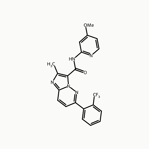 COc1ccnc(NC(=O)c2c(C)nc3ccc(-c4ccccc4C(F)(F)F)nn23)c1